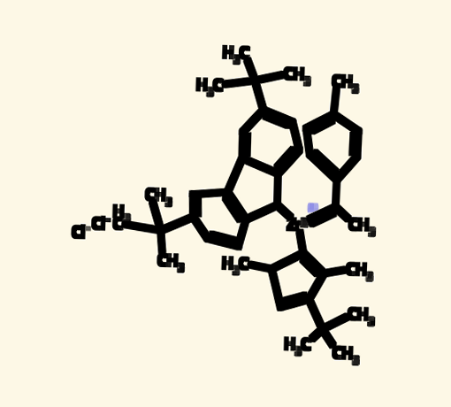 CC1=[C](/[Zr+2](=[C](\C)c2ccc(C)cc2)[CH]2c3ccc(C(C)(C)C)cc3-c3cc(C(C)(C)C)ccc32)C(C)C=C1C(C)(C)C.[Cl-].[Cl-]